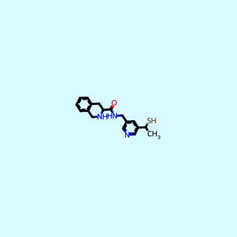 CC(S)c1cncc(CNC(=O)C2Cc3ccccc3CN2)c1